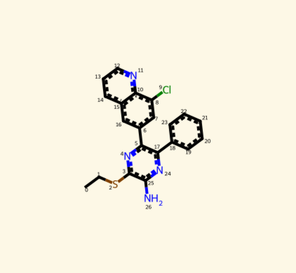 CCSc1nc(-c2cc(Cl)c3ncccc3c2)c(-c2ccccc2)nc1N